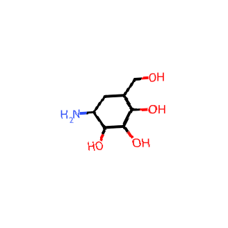 NC1CC(CO)C(O)C(O)C1O